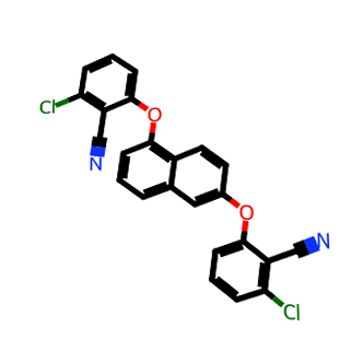 N#Cc1c(Cl)cccc1Oc1ccc2c(Oc3cccc(Cl)c3C#N)cccc2c1